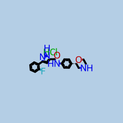 Cl.O=C(Nc1ccc([C@H]2CNCCO2)cc1)c1cc(-c2ccccc2F)n[nH]1